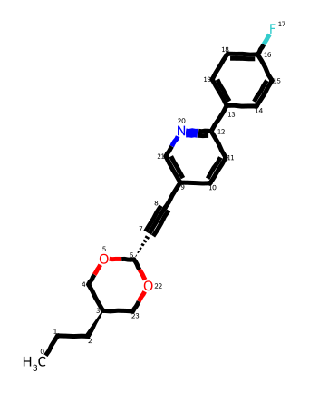 CCC[C@H]1CO[C@H](C#Cc2ccc(-c3ccc(F)cc3)nc2)OC1